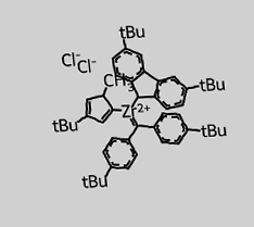 CC1C=C(C(C)(C)C)C=[C]1[Zr+2](=[C](c1ccc(C(C)(C)C)cc1)c1ccc(C(C)(C)C)cc1)[CH]1c2ccc(C(C)(C)C)cc2-c2cc(C(C)(C)C)ccc21.[Cl-].[Cl-]